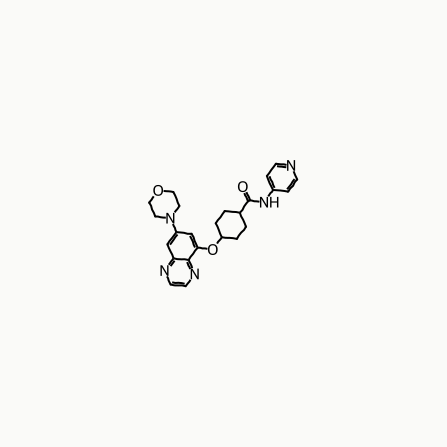 O=C(Nc1ccncc1)C1CCC(Oc2cc(N3CCOCC3)cc3nccnc23)CC1